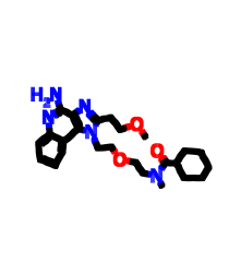 COCCc1nc2c(N)nc3ccccc3c2n1CCOCCN(C)C(=O)C1CCCCC1